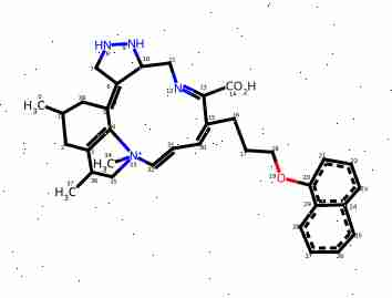 CC1CC2=C3/C(=C4/CNNC4C/N=C(C(=O)O)/C(CCCOc4cccc5ccccc45)=C\C=C\[N+]3(C)CC2C)C1